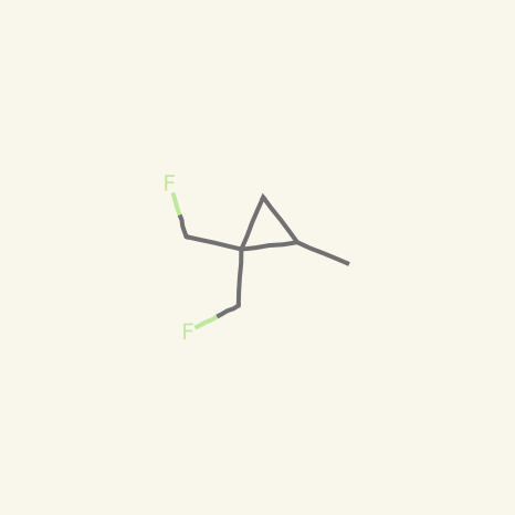 CC1CC1(CF)CF